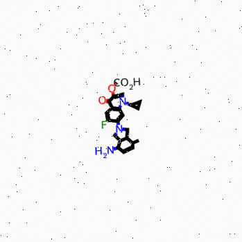 CC1C=CC(N)C2CN(c3cc4c(cc3F)c(=O)c(OC(=O)O)cn4C3CC3)CC12